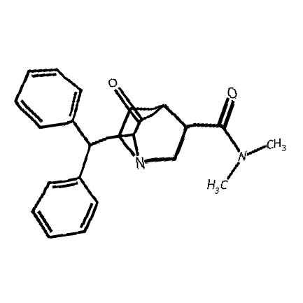 CN(C)C(=O)C1CN2CCC1C(=O)C2C(c1ccccc1)c1ccccc1